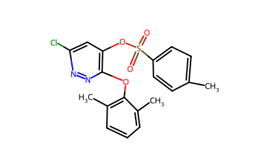 Cc1ccc(S(=O)(=O)Oc2cc(Cl)nnc2Oc2c(C)cccc2C)cc1